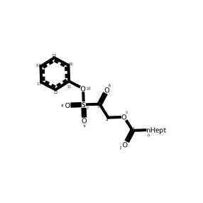 CCCCCCCC(=O)OCC(=O)S(=O)(=O)Oc1ccccc1